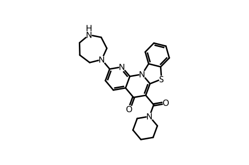 O=C(c1c(=O)c2ccc(N3CCCNCC3)nc2n2c1sc1ccccc12)N1CCCCC1